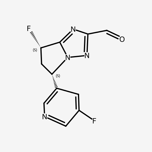 O=Cc1nc2n(n1)[C@H](c1cncc(F)c1)C[C@@H]2F